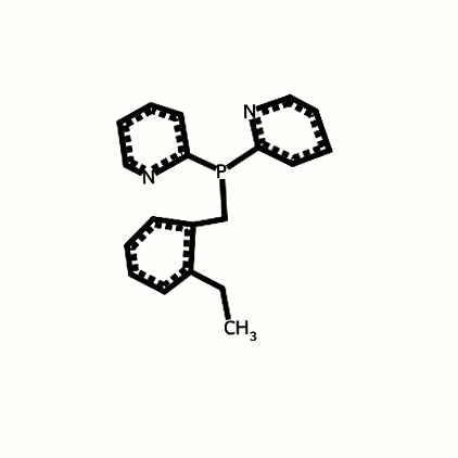 CCc1ccccc1CP(c1ccccn1)c1ccccn1